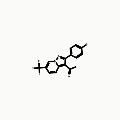 CC(=O)c1c(-c2ccc(F)cc2)nn2cc(C(F)(F)F)ccc12